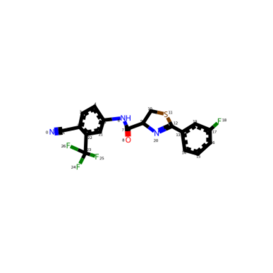 N#Cc1ccc(NC(=O)C2CSC(c3cccc(F)c3)=N2)cc1C(F)(F)F